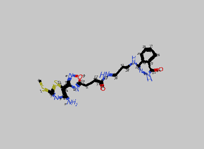 CSc1nc(N)c(-c2noc(CCC(=O)NCCCNc3n[nH]c(=O)c4ccccc34)n2)s1